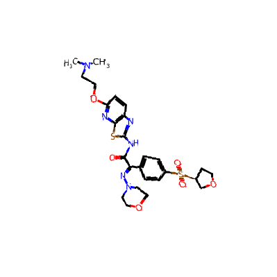 CN(C)CCOc1ccc2nc(NC(=O)/C(=N/N3CCOCC3)c3ccc(S(=O)(=O)[C@H]4CCOC4)cc3)sc2n1